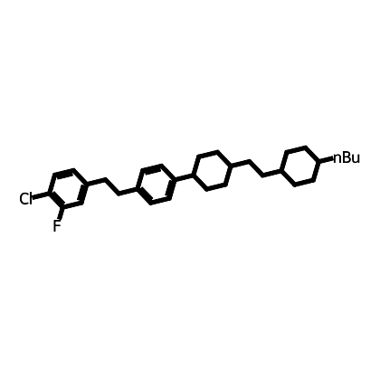 CCCCC1CCC(CCC2CCC(c3ccc(CCc4ccc(Cl)c(F)c4)cc3)CC2)CC1